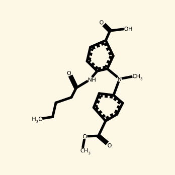 CCCCC(=O)Nc1ccc(C(=O)O)cc1N(C)c1ccc(C(=O)OC)cc1